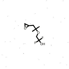 CC(C)(CC1CO1)OCC(O)(F)F